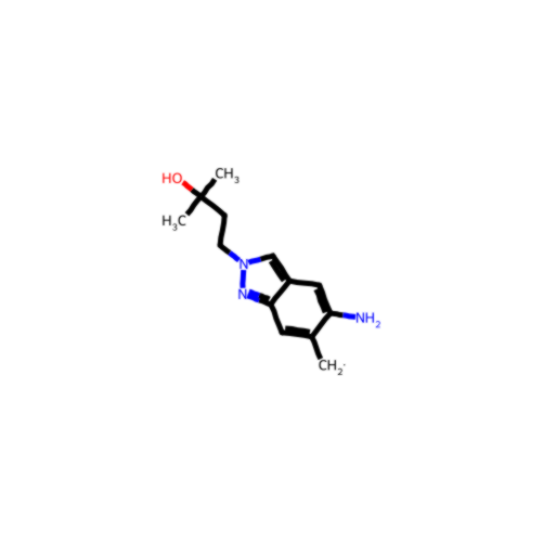 [CH2]c1cc2nn(CCC(C)(C)O)cc2cc1N